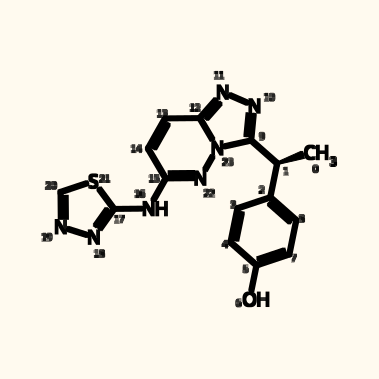 C[C@@H](c1ccc(O)cc1)c1nnc2ccc(Nc3nncs3)nn12